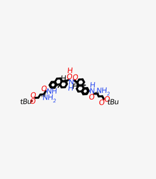 CC(C)(C)OC(=O)CC[C@H](N)C(=O)Nc1ccc2c(c1)[C@@]1(C)CCC[C@](C)(C(O)NC(=O)[C@@]3(C)CCC[C@]4(C)c5cc(NC(=O)[C@@H](N)CCC(=O)OC(C)(C)C)ccc5CC[C@@H]34)[C@@H]1CC2